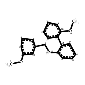 COc1cccc(CPc2ccccc2-c2ccccc2OC)c1